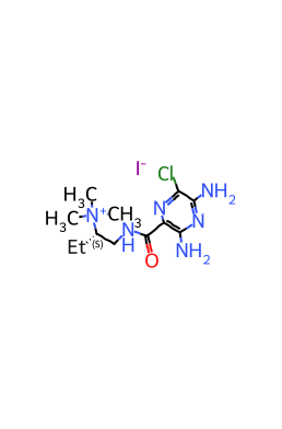 CC[C@@H](CNC(=O)c1nc(Cl)c(N)nc1N)[N+](C)(C)C.[I-]